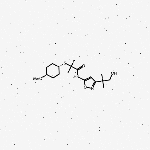 CO[C@H]1CC[C@H](SC(C)(C)C(=O)Nc2cc(C(C)(C)CO)no2)CC1